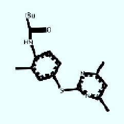 Cc1cc(C)nc(Sc2ccc(NC(=O)C(C)(C)C)c(C)c2)n1